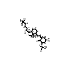 C=C1/C(=C\C=C2/CCC[C@]3(C)[C@@H]([C@H](C)CCCC(C)(C)F)CC[C@@H]23)C[C@@H](F)C[C@@H]1OC(C)=O